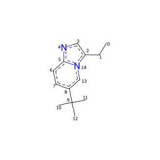 CCc1cnc2ccc(C(C)(C)C)cn12